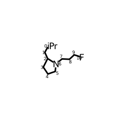 CC(C)CC1CCCN1CCCF